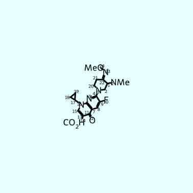 CNC1CN(c2nc3c(cc2F)c(=O)c(C(=O)O)cn3C2CC2)CCC1=NOC